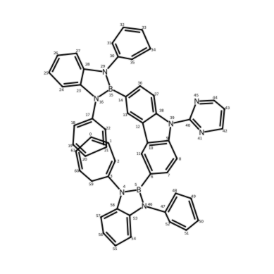 C1=CC=C(N2B(c3ccc4c(c3)c3cc(B5N(c6ccccc6)c6ccccc6N5c5ccccc5)ccc3n4-c3ncccn3)N(c3ccccc3)c3ccccc32)CC=C1